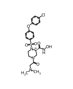 CN(C)CC(=O)N1CCN(S(=O)(=O)c2ccc(Oc3ccc(Cl)cc3)cc2)[C@@H](C(=O)NO)C1